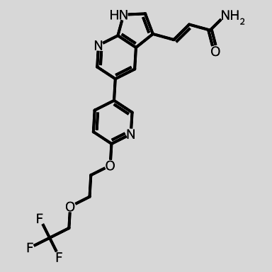 NC(=O)C=Cc1c[nH]c2ncc(-c3ccc(OCCOCC(F)(F)F)nc3)cc12